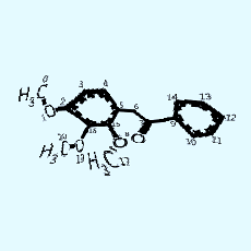 COc1ccc(CC(=O)c2ccccc2)c(OC)c1OC